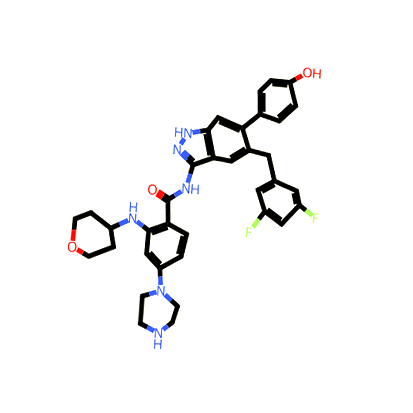 O=C(Nc1n[nH]c2cc(-c3ccc(O)cc3)c(Cc3cc(F)cc(F)c3)cc12)c1ccc(N2CCNCC2)cc1NC1CCOCC1